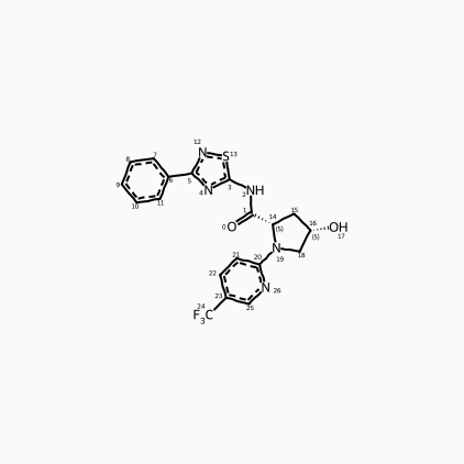 O=C(Nc1nc(-c2ccccc2)ns1)[C@@H]1C[C@H](O)CN1c1ccc(C(F)(F)F)cn1